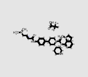 CN(C)C/C=C/C(=O)Nc1ccc(C2CCN(C(=O)N(c3nccc4ccn(C)c34)[C@H]3CCCNC3)CC2)cc1.O=C(O)C(F)(F)F